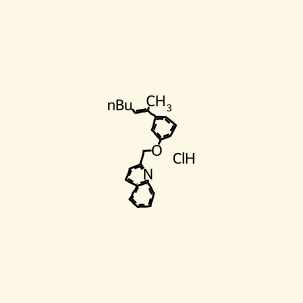 CCCCC=C(C)c1cccc(OCc2ccc3ccccc3n2)c1.Cl